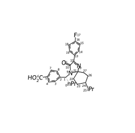 CCC[C@H](c1ccc(C(=O)O)cc1)N1C(=O)C(c2ccc(F)cc2)=NC12CCC(C(C)C)CC2